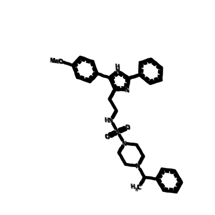 COc1ccc(-c2[nH]c(-c3ccccc3)nc2CCNS(=O)(=O)N2CCN(C(C)c3ccccc3)CC2)cc1